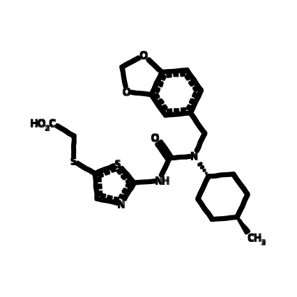 C[C@H]1CC[C@H](N(Cc2ccc3c(c2)OCO3)C(=O)Nc2ncc(SCC(=O)O)s2)CC1